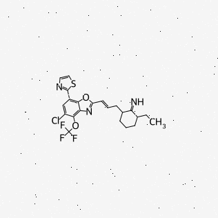 CCC1CCCC(C/C=C/c2nc3c(OC(F)(F)F)c(Cl)cc(-c4nccs4)c3o2)C1=N